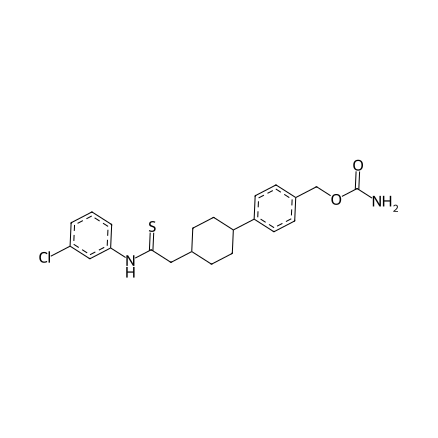 NC(=O)OCc1ccc(C2CCC(CC(=S)Nc3cccc(Cl)c3)CC2)cc1